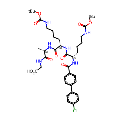 C[C@H](NC(=O)[C@H](CCCCNC(=O)OC(C)(C)C)NC(=O)[C@H](CCCCNC(=O)OC(C)(C)C)NC(=O)c1ccc(-c2ccc(Cl)cc2)cc1)C(=O)NCC(=O)O